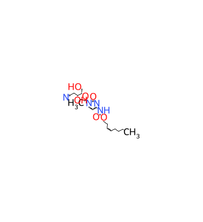 CCCC/C=C\CCOC(=O)Nc1ccn(C(C)O[C@H](CO)[C@@H](O)CC#N)c(=O)n1